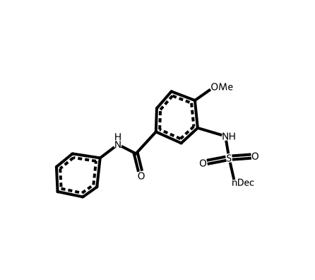 CCCCCCCCCCS(=O)(=O)Nc1cc(C(=O)Nc2ccccc2)ccc1OC